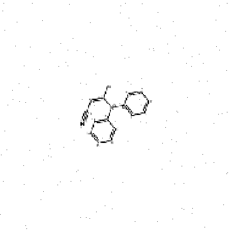 C/C(=C/C#N)N(c1ccccc1)c1ccccc1